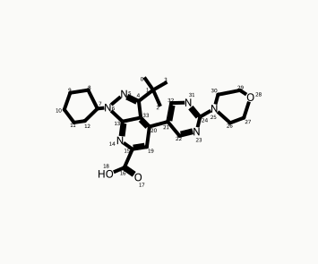 CC(C)(C)c1nn(C2CCCCC2)c2nc(C(=O)O)cc(-c3cnc(N4CCOCC4)nc3)c12